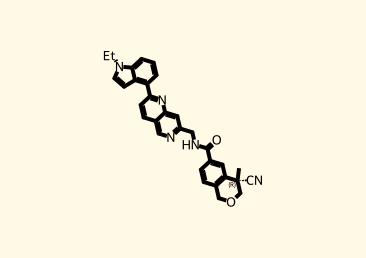 CCn1ccc2c(-c3ccc4cnc(CNC(=O)c5ccc6c(c5)[C@](C)(C#N)COC6)cc4n3)cccc21